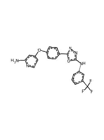 Nc1cc(Oc2ccc(-c3nnc(Nc4cccc(C(F)(F)F)c4)o3)cc2)ccn1